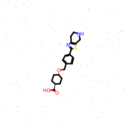 O=C(O)[C@H]1CC[C@H](OCc2ccc(-c3nc4c(s3)CNCC4)cc2)CC1